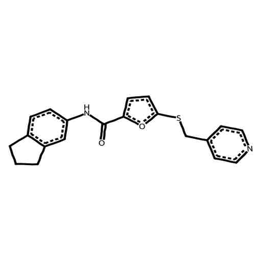 O=C(Nc1ccc2c(c1)CCC2)c1ccc(SCc2ccncc2)o1